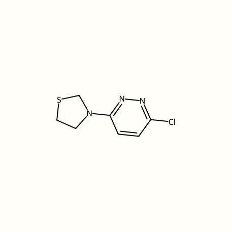 Clc1ccc(N2CCSC2)nn1